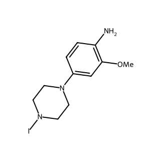 COc1cc(N2CCN(I)CC2)ccc1N